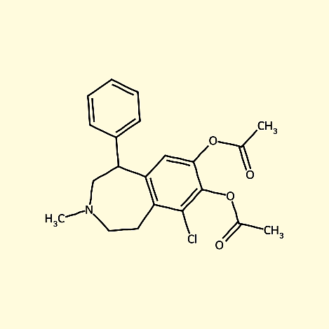 CC(=O)Oc1cc2c(c(Cl)c1OC(C)=O)CCN(C)CC2c1ccccc1